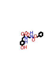 COC(=O)C(Cc1ccc(O)cc1)NC(=O)CNC(=O)OCc1ccccc1